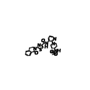 CS(=O)(=O)NC1CCN(c2ncccc2NC(=O)c2csc(N3CCc4ccccc4C3=O)n2)CC1